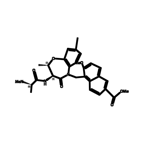 CN[C@@H](C)C(=O)N[C@@H]1C(=O)N(Cc2c(OC)ccc3cc(C(=O)OC)ccc23)c2ccc(C)cc2O[C@H]1C